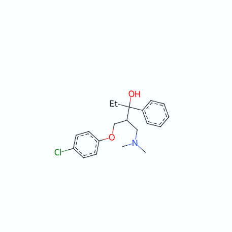 CCC(O)(c1ccccc1)C(COc1ccc(Cl)cc1)CN(C)C